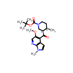 COc1cnc2c(ccn2C)c1C(=O)[C@H]1CN(C(=O)OC(C)(C)C)CC[C@H]1C